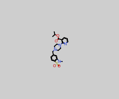 CC(C)OC(=O)c1cccnc1N1CCN(Cc2ccc3c(c2)N(C)S3(=O)=O)CC1